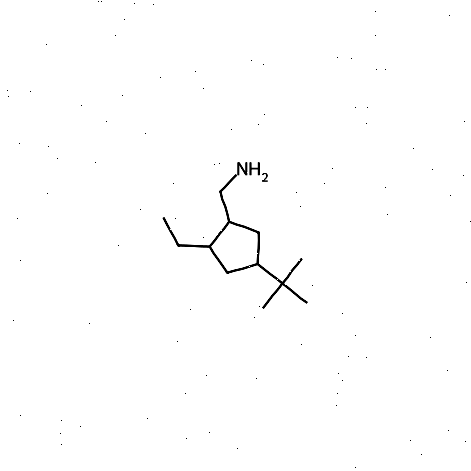 CCC1CC(C(C)(C)C)CC1CN